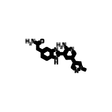 Cn1cc(-c2cnc(N)c(-c3nc4cc(CC(N)=O)ccc4[nH]3)c2)cn1